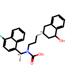 C[C@H](c1ccc(F)c2ccccc12)N(CCC[C@@H]1Cc2ccccc2C(O)C1)C(=O)O